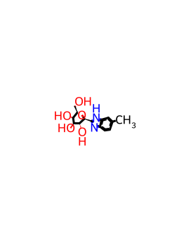 Cc1ccc2nc([C@@H]3O[C@H](CO)[C@@H](O)[C@H](O)[C@H]3O)[nH]c2c1